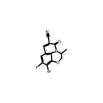 CC1COc2c(Br)c(F)cc3cc(C#N)c(=O)n1c23